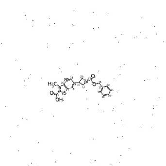 Cc1c(C(=O)O)sc2cc(C3CN(C(=O)OCc4ccccc4)C3)cnc12